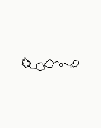 c1cncc(CC2CCC3(CCC(COCCN4CCCC4)CC3)CC2)c1